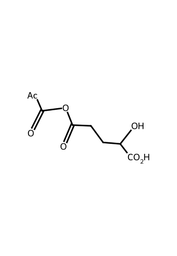 CC(=O)C(=O)OC(=O)CCC(O)C(=O)O